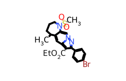 CCOC(=O)c1c(-c2ccc(Br)cc2)nn2cc3c(cc12)C(C)CCCN3S(C)(=O)=O